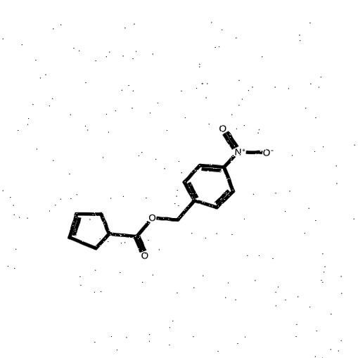 O=C(OCc1ccc([N+](=O)[O-])cc1)C1CC=CC1